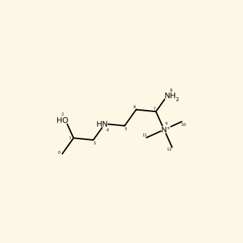 CC(O)CNCCC(N)[N+](C)(C)C